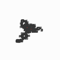 CC(C)(C)OC(=O)N1CC2COCC(C1)N2c1nc(-c2ccc(N=C=O)cc2)nc2c1cnn2CC(F)(F)F